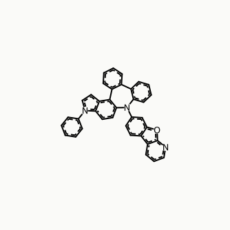 c1ccc(-n2ccc3c4c(ccc32)N(c2ccc3c(c2)oc2ncccc23)c2ccccc2-c2ccccc2-4)cc1